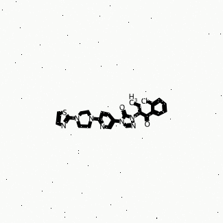 CCC(C(=O)c1ccccc1Cl)n1ncn(-c2ccc(N3CCN(c4nccs4)CC3)nc2)c1=O